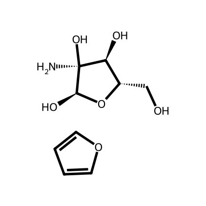 N[C@@]1(O)[C@H](O)O[C@@H](CO)[C@@H]1O.c1ccoc1